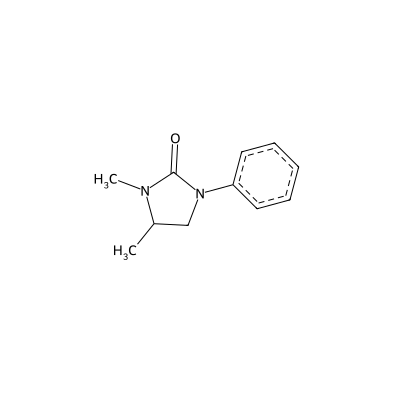 CC1CN(c2ccccc2)C(=O)N1C